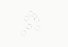 CC1(C)c2cc3oc4ccccc4c3cc2-c2c(-c3nc(-c4ccccc4)nc(-c4ccccn4)n3)cccc21